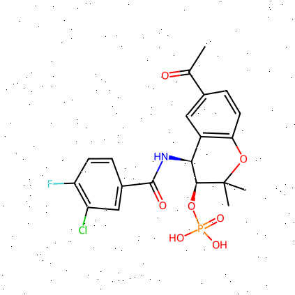 CC(=O)c1ccc2c(c1)[C@H](NC(=O)c1ccc(F)c(Cl)c1)[C@H](OP(=O)(O)O)C(C)(C)O2